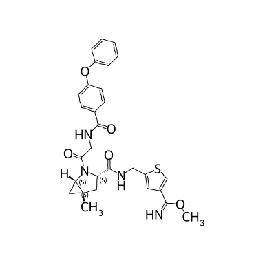 COC(=N)c1csc(CNC(=O)[C@@H]2C[C@]3(C)C[C@@H]3N2C(=O)CNC(=O)c2ccc(Oc3ccccc3)cc2)c1